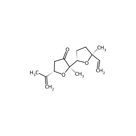 C=C[C@]1(C)CC[C@@H]([C@@]2(C)O[C@H](C(=C)C)CC2=O)O1